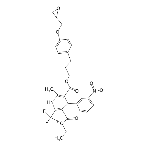 CCOC(=O)C1=C(C(F)(F)F)NC(C)=C(C(=O)OCCCc2ccc(OCC3CO3)cc2)C1c1cccc([N+](=O)[O-])c1